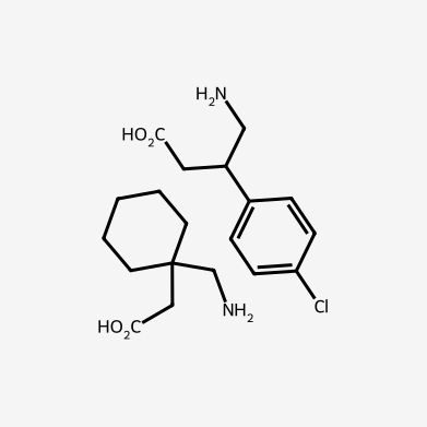 NCC(CC(=O)O)c1ccc(Cl)cc1.NCC1(CC(=O)O)CCCCC1